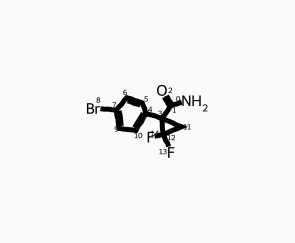 NC(=O)C1(c2ccc(Br)cc2)CC1(F)F